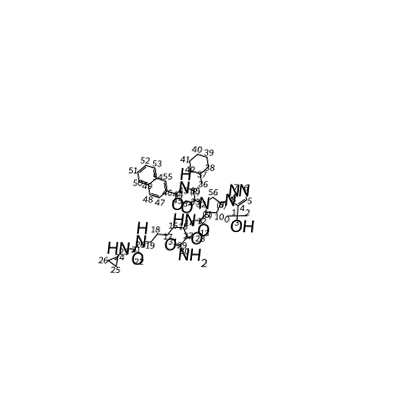 CC(C)(O)c1cnnn1[C@H]1C[C@@H](C(=O)NC(CCCCNC(=O)NC2CC2)C(=O)C(N)=O)N(C(=O)[C@@H](CC2CCCCC2)NC(=O)c2ccc3ccccc3c2)C1